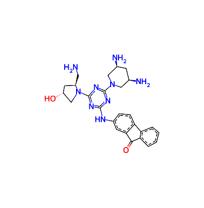 NC[C@@H]1C[C@@H](O)CN1c1nc(Nc2ccc3c(c2)C(=O)c2ccccc2-3)nc(N2C[C@H](N)C[C@H](N)C2)n1